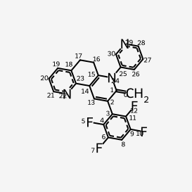 C=C1C(c2c(F)c(F)cc(F)c2F)=CC2=C(CCc3cccnc32)N1c1cccnc1